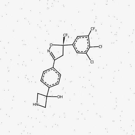 OC1(c2ccc(C3=NO[C@@](c4cc(Cl)c(Cl)c(C(F)(F)F)c4)(C(F)(F)F)C3)cc2)CNC1